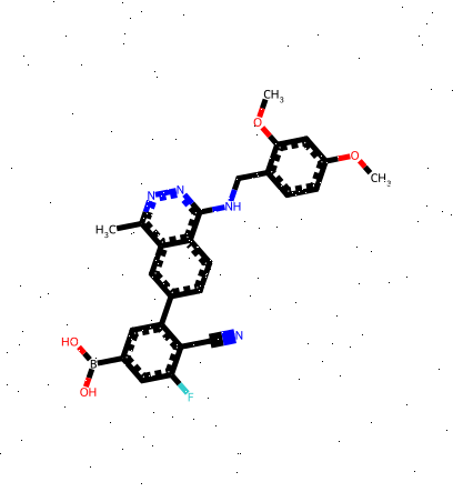 COc1ccc(CNc2nnc(C)c3cc(-c4cc(B(O)O)cc(F)c4C#N)ccc23)c(OC)c1